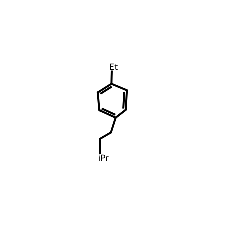 CCc1ccc(CCC(C)C)cc1